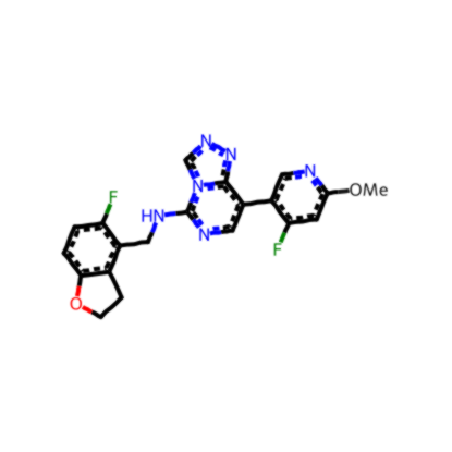 COc1cc(F)c(-c2cnc(NCc3c(F)ccc4c3CCO4)n3cnnc23)cn1